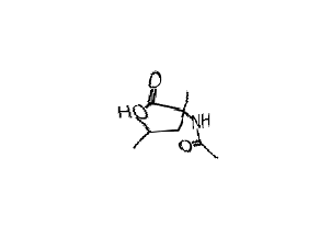 CC(=O)NC(C)(CC(C)C)C(=O)O